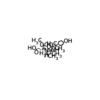 CCOC(=O)[C@@H](CCC(=O)O)NC(=O)[C@@H](NC(=O)C(C)(C)c1ccc(O)cc1)C(C)(C)C